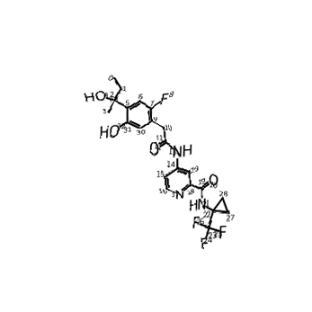 CC[C@@](C)(O)c1cc(F)c(CC(=O)Nc2ccnc(C(=O)NC3(C(F)(F)F)CC3)c2)cc1O